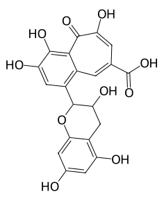 O=C(O)c1cc(O)c(=O)c2c(O)c(O)cc(C3Oc4cc(O)cc(O)c4CC3O)c2c1